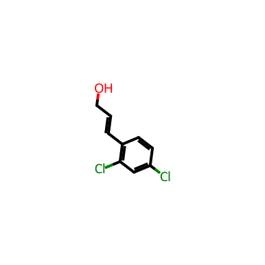 OCC=Cc1ccc(Cl)cc1Cl